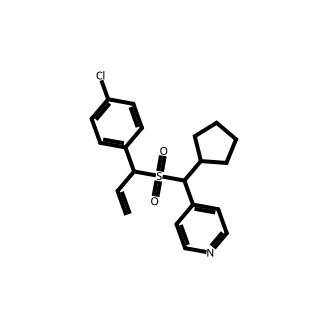 C=CC(c1ccc(Cl)cc1)S(=O)(=O)C(c1ccncc1)C1CCCC1